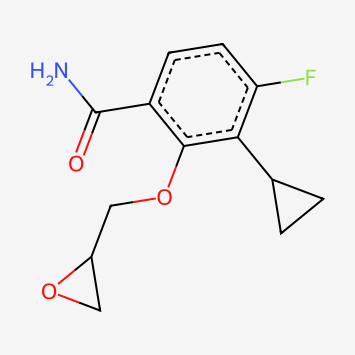 NC(=O)c1ccc(F)c(C2CC2)c1OCC1CO1